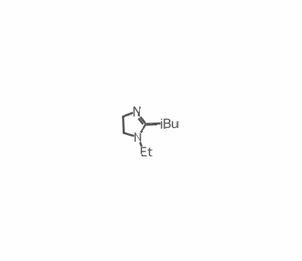 CCC(C)C1=NCCN1CC